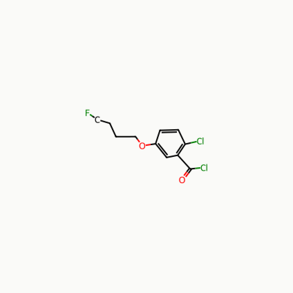 O=C(Cl)c1cc(OCCCCF)ccc1Cl